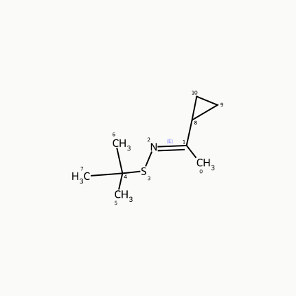 C/C(=N\SC(C)(C)C)C1CC1